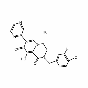 Cl.O=C1c2c(O)c(=O)c(-c3cnccn3)cn2CCN1Cc1ccc(Cl)c(Cl)c1